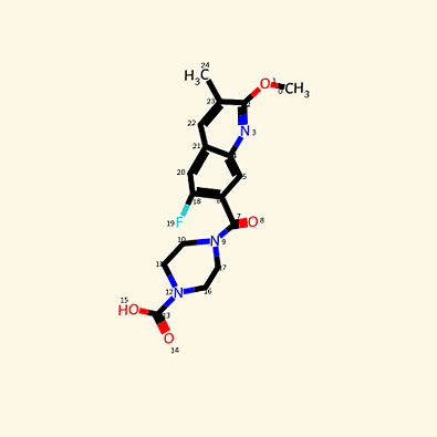 COc1nc2cc(C(=O)N3CCN(C(=O)O)CC3)c(F)cc2cc1C